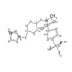 CN(CC1CCC(Cn2ccnc2)CC1)S(=O)(=O)c1ccc(C(F)(F)F)cc1